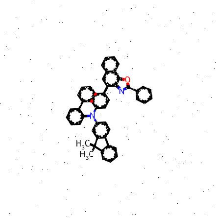 CC1(C)c2ccccc2-c2ccc(N(c3ccc(-c4cc5ccccc5c5oc(-c6ccccc6)nc45)cc3)c3ccccc3-c3ccccc3)cc21